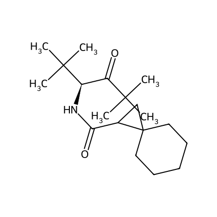 CC(C)(C)C(=O)[C@@H](NC(=O)C1CC12CCCCC2)C(C)(C)C